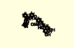 COc1cc(COc2cccc([C@@H](NC(=O)O[C@H]3CN4CCC3CC4)c3ccccc3)c2)ccc1CNC[C@H](O)c1ccc(O)c2c1C=CC(O)N2